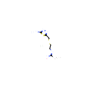 CNC(=NCCSCc1nnc(N)s1)NO.Cl.Cl